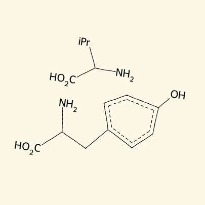 CC(C)C(N)C(=O)O.NC(Cc1ccc(O)cc1)C(=O)O